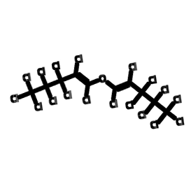 ClC(OC(Cl)=C(Cl)C(Cl)(Cl)C(Cl)(Cl)C(Cl)(Cl)Cl)=C(Cl)C(Cl)(Cl)C(Cl)(Cl)C(Cl)(Cl)Cl